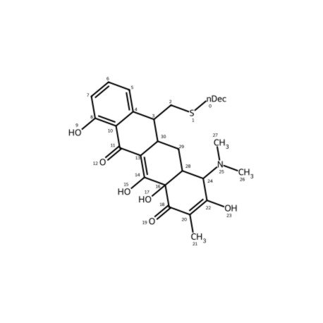 CCCCCCCCCCSCC1c2cccc(O)c2C(=O)C2=C(O)C3(O)C(=O)C(C)=C(O)C(N(C)C)C3CC21